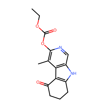 CCOC(=O)Oc1ncc2[nH]c3c(c2c1C)C(=O)CCC3